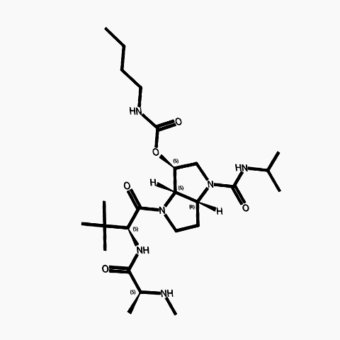 CCCCNC(=O)O[C@H]1CN(C(=O)NC(C)C)[C@@H]2CCN(C(=O)[C@@H](NC(=O)[C@H](C)NC)C(C)(C)C)[C@H]12